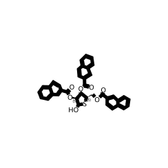 O=C(OC[C@@H]1SC(O)[C@@H](OC(=O)c2ccc3ccccc3c2)[C@@H]1OC(=O)c1ccc2ccccc2c1)c1ccc2ccccc2c1